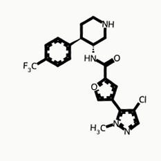 Cn1ncc(Cl)c1-c1coc(C(=O)N[C@H]2CNCC[C@@H]2c2ccc(C(F)(F)F)cc2)c1